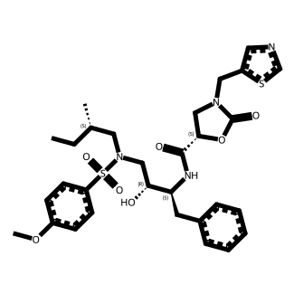 CC[C@H](C)CN(C[C@@H](O)[C@H](Cc1ccccc1)NC(=O)[C@@H]1CN(Cc2cncs2)C(=O)O1)S(=O)(=O)c1ccc(OC)cc1